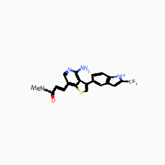 CNC(=O)C=Cc1cnc(N)c2c(-c3ccc4[nH]c(C(F)(F)F)cc4c3)csc12